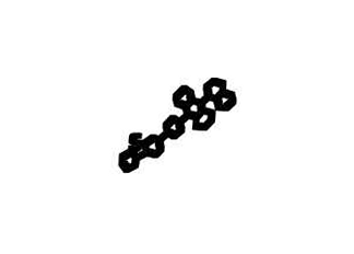 c1ccc2c(-c3c4ccccc4c(-c4ccc(-c5ccc6c(c5)sc5ccccc56)cc4)c4ccccc34)cccc2c1